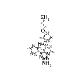 CCCCOc1cccc(C2=Nc3ccccc3-c3nc(N)nn4ccc2c34)c1